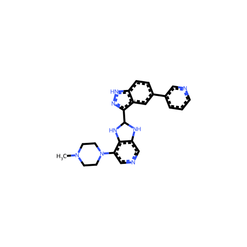 CN1CCN(c2cncc3c2NC(c2n[nH]c4ccc(-c5cccnc5)cc24)N3)CC1